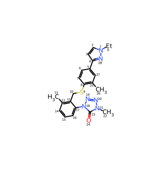 CCn1ccc(-c2ccc(SCc3c(C)cccc3-n3nnn(C)c3=O)c(C)c2)n1